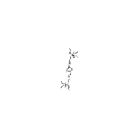 CCO[Si](CCC/N=C/c1ccc(/C=N/CCC[Si](OCC)(OCC)OCC)nc1)(OCC)OCC